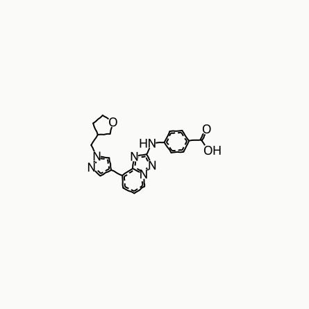 O=C(O)c1ccc(Nc2nc3c(-c4cnn(CC5CCOC5)c4)cccn3n2)cc1